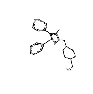 Cc1c(-c2ccccc2)c(-c2ccccc2)nn1CC1CCC(CO)CC1